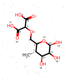 C[C@@H]1C(COC(C(=O)O)C(=O)O)O[C@@H](O)C(O)[C@H]1O